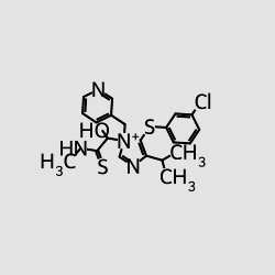 CNC(=S)C(O)[N+]1(Cc2cccnc2)C=NC(C(C)C)=C1Sc1cccc(Cl)c1